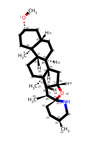 CO[C@H]1CC[C@@]2(C)[C@@H](CC[C@@H]3[C@@H]2CC[C@]2(C)[C@@H]4[C@H](C[C@@H]32)O[C@@]2(CC[C@H](C)CN2)[C@H]4C)C1